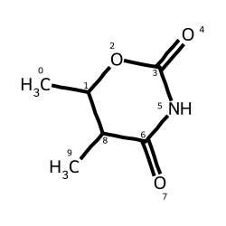 CC1OC(=O)NC(=O)C1C